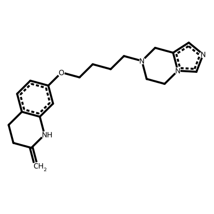 C=C1CCc2ccc(OCCCCN3CCn4cncc4C3)cc2N1